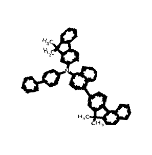 CC1(C)c2ccccc2-c2ccc(N(c3ccc(-c4ccccc4)cc3)c3ccc(-c4ccc5c(c4)C(C)(C)c4ccc6ccccc6c4-5)c4ccccc34)cc21